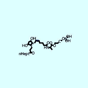 CCCCCCCC(=O)CC[C@@H]1[C@@H](C/C=C\CCCC(=O)NC(C)C(=O)OCCCCON(O)O)[C@@H](O)C[C@H]1O